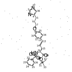 Cn1cnc(CCCOc2ccc(C=CC[C@H](NS(=O)(=O)c3ccccc3)C(=O)OC(C)(C)C)cc2)c1